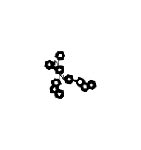 c1ccc(-n2c3ccccc3c3cc(N(c4ccc(-c5ccc6c(ccc7ccccc76)c5)cc4)c4ccc5ccc6ccccc6c5c4)ccc32)cc1